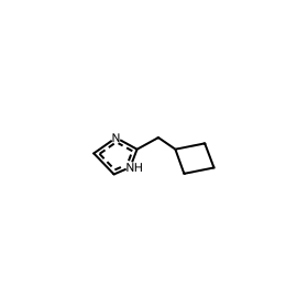 c1c[nH]c(CC2CCC2)n1